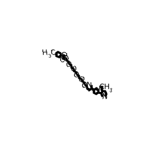 Cc1ccc(S(=O)(=O)OCCOCCOCCOCCOCCOc2ccc(-c3ccc4c5cnccc5n(C)c4c3)cn2)cc1